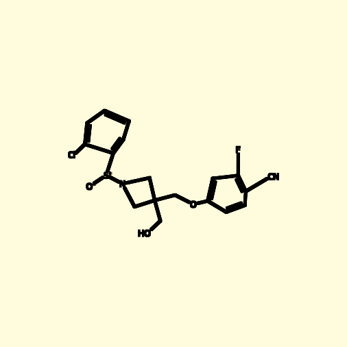 N#Cc1ccc(OCC2(CO)CN([S+]([O-])c3ccccc3Cl)C2)cc1F